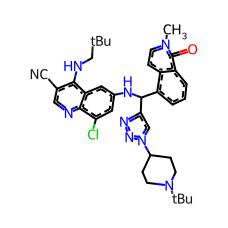 Cn1ccc2c(C(Nc3cc(Cl)c4ncc(C#N)c(NCC(C)(C)C)c4c3)c3cn(C4CCN(C(C)(C)C)CC4)nn3)cccc2c1=O